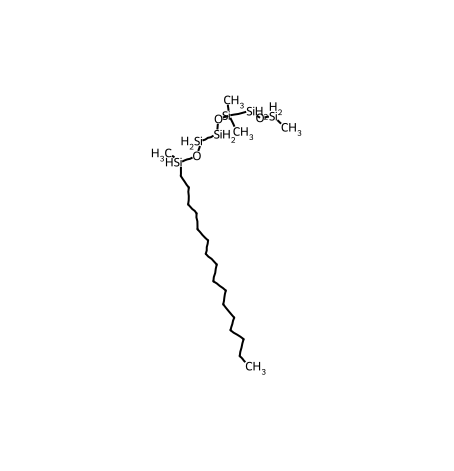 CCCCCCCCCCCCCCCC[SiH](C)O[SiH2][SiH2]O[Si](C)(C)[SiH2]O[SiH2]C